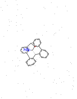 c1ccc(-c2ccccc2C(c2ccccc2-c2ccccc2)[C@H]2CCCN2)cc1